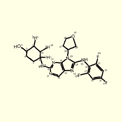 [2H]C1C(O)CCC([2H])(Nc2ncc3nc(Nc4c(F)cc(F)cc4F)n(C4CCOC4)c3n2)C1[2H]